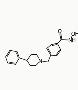 O=C(NO)c1ccc(CN2CCC(c3ccccc3)CC2)cc1